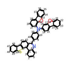 c1ccc2c(c1)nc(-c1ccc(N(c3ccc4c(c3)oc3ccccc34)c3cccc4c3oc3ccccc34)cc1)c1ccc3c4ccccc4sc3c12